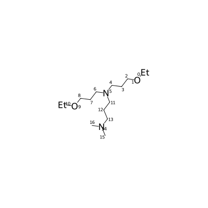 CCOCCCN(CCCOCC)CCCN(C)C